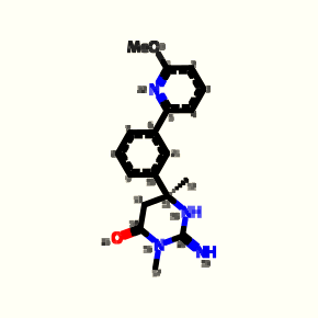 COc1cccc(-c2cccc([C@]3(C)CC(=O)N(C)C(=N)N3)c2)n1